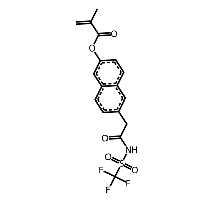 C=C(C)C(=O)Oc1ccc2cc(CC(=O)NS(=O)(=O)C(F)(F)F)ccc2c1